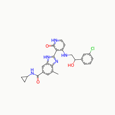 Cc1cc(C(=O)NC2CC2)cc2[nH]c(-c3c(NCC(O)c4cccc(Cl)c4)cc[nH]c3=O)nc12